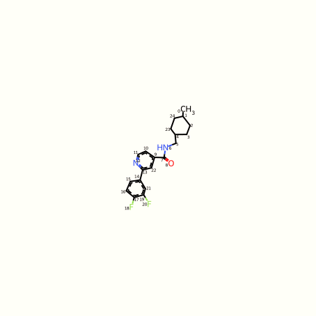 CC1CCC(CNC(=O)c2ccnc(-c3ccc(F)c(F)c3)c2)CC1